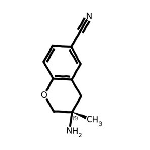 C[C@@]1(N)COc2ccc(C#N)cc2C1